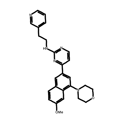 COc1ccc2cc(-c3ccnc(NCCc4cccnc4)n3)cc(N3CCOCC3)c2c1